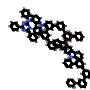 c1ccc(-c2cccc(-c3cccc(-c4cccc(-c5ccccc5-n5c6ccccc6c6cc7c(cc65)c5ccccc5n7-c5nc(-c6ccccc6)nc(-c6cccc(-c7ccc(-n8c9ccccc9c9c8ccc8c%10ccccc%10n(-c%10nc(-c%11ccccc%11)nc(-c%11ccccc%11)n%10)c89)c(-c8cccc(-c9cccc(-c%10cccc(-c%11ccccc%11)c%10)c9)c8)c7)c6)n5)c4)c3)c2)cc1